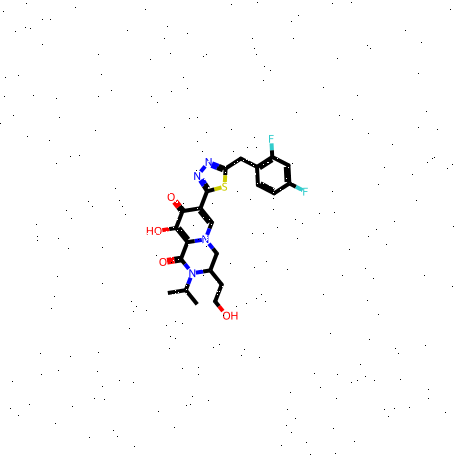 CC(C)N1C(=O)c2c(O)c(=O)c(-c3nnc(Cc4ccc(F)cc4F)s3)cn2CC1CCO